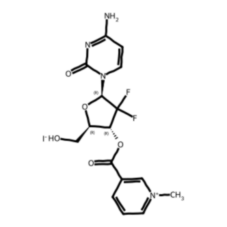 C[n+]1cccc(C(=O)O[C@@H]2[C@@H](CO)O[C@@H](n3ccc(N)nc3=O)C2(F)F)c1.[I-]